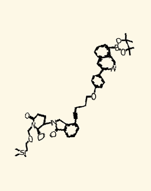 CC1(C)OB(c2cccc3cc(-c4ccc(OCCCC#Cc5cccc6c5CN(C5CCC(=O)N(COCC[Si](C)(C)C)C5=O)C6=O)cc4)ncc23)OC1(C)C